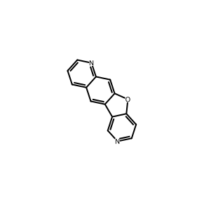 c1cnc2cc3oc4ccncc4c3cc2c1